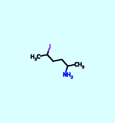 CC(N)CCC(C)I